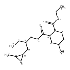 CCOC(=O)C1CCC(O)CC1C(=O)OCC(CC)CC1OC1C